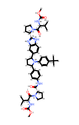 COC(=O)N[C@H](C(=O)N1CCC[C@H]1C(=O)Nc1ccc(C2CCC(c3ccc4[nH]c([C@@H]5CCCN5C(=O)[C@@H](NC(=O)OC)C(C)C)nc4c3)N2c2ccc(C(C)(C)C)cc2)cc1)C(C)C